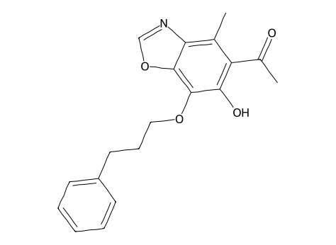 CC(=O)c1c(O)c(OCCCc2ccccc2)c2ocnc2c1C